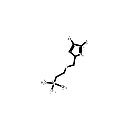 CCC1=CC(COCC[Si](C)(C)C)N=C1Br